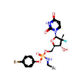 CC(=O)CNP(=O)(OC[C@H]1O[C@@H](n2ccc(=O)[nH]c2=O)[C@](C)(F)[C@@H]1O)Oc1ccc(Br)cc1